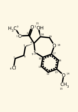 COC(=O)[C@]1(CCCCl)Sc2ccc(OC)cc2OC[C@@H]1O